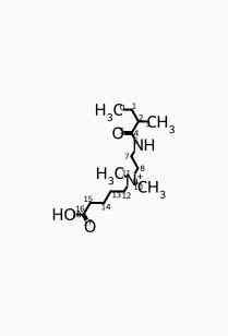 CCC(C)C(=O)NCC[N+](C)(C)CCCCC(=O)O